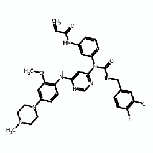 C=CC(=O)Nc1cccc(N(C(=O)NCc2ccc(F)c(Cl)c2)c2cc(Nc3ccc(N4CCN(C)CC4)cc3OC)ncn2)c1